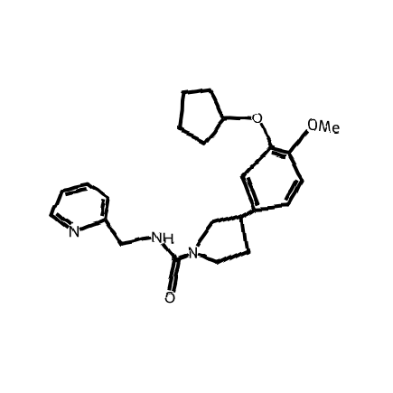 COc1ccc(C2CCN(C(=O)NCc3ccccn3)C2)cc1OC1CCCC1